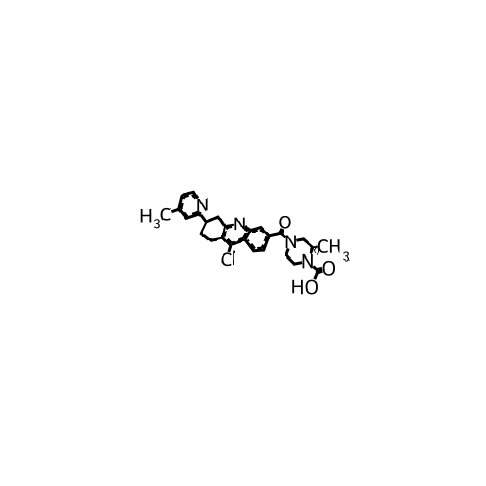 Cc1ccnc(C2CCc3c(nc4cc(C(=O)N5CCN(C(=O)O)[C@H](C)C5)ccc4c3Cl)C2)c1